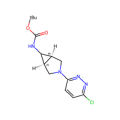 CC(C)(C)OC(=O)NC1[C@H]2CN(c3ccc(Cl)nn3)C[C@@H]12